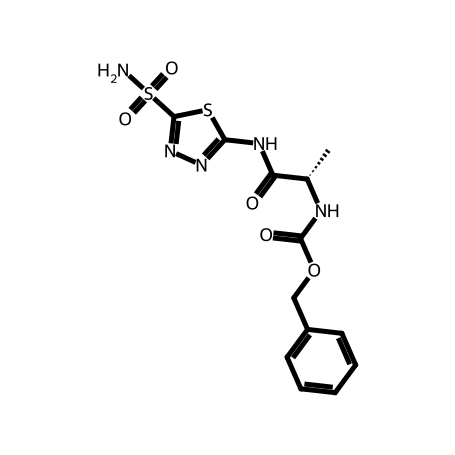 C[C@H](NC(=O)OCc1ccccc1)C(=O)Nc1nnc(S(N)(=O)=O)s1